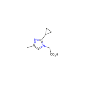 Cc1cn(CC(=O)O)c(C2CC2)n1